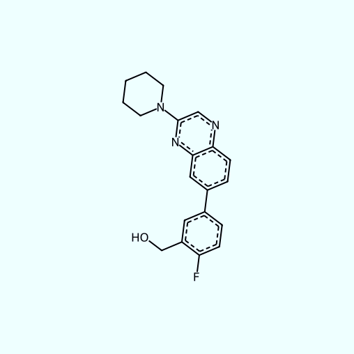 OCc1cc(-c2ccc3ncc(N4CCCCC4)nc3c2)ccc1F